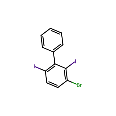 Brc1ccc(I)c(-c2ccccc2)c1I